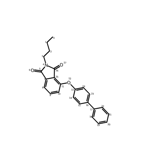 CCCCN1C(=O)c2cccc(Oc3ccc(-c4ccccc4)cc3)c2C1=O